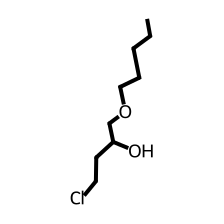 CCCCCOCC(O)CCCl